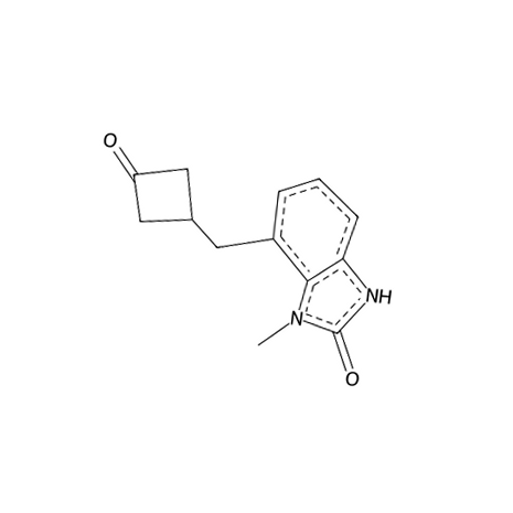 Cn1c(=O)[nH]c2cccc(CC3CC(=O)C3)c21